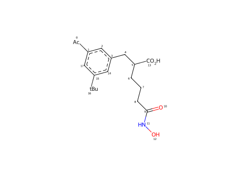 CC(=O)c1cc(CC(CCCC(=O)NO)C(=O)O)cc(C(C)(C)C)c1